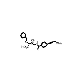 CCOC(=O)[C@@H](OCc1ccccc1)[C@@H](O)CNC(=O)c1ccc(C#CCOC)cc1